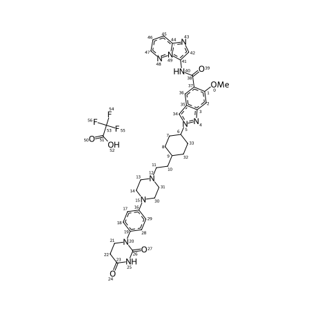 COc1cc2nn(C3CCC(CCN4CCN(c5ccc(N6CCC(=O)NC6=O)cc5)CC4)CC3)cc2cc1C(=O)Nc1cnc2cccnn12.O=C(O)C(F)(F)F